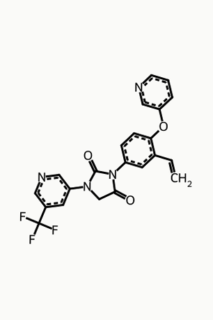 C=Cc1cc(N2C(=O)CN(c3cncc(C(F)(F)F)c3)C2=O)ccc1Oc1cccnc1